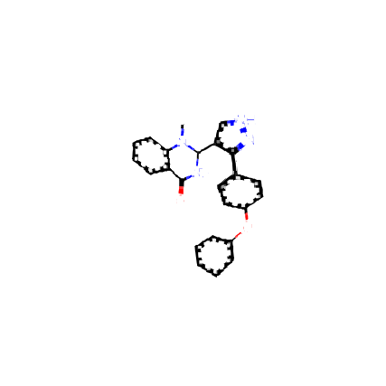 CN1c2ccccc2C(=O)NC1c1c[nH]nc1-c1ccc(Oc2ccccc2)cc1